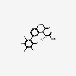 COC(=O)[C@H](C)N1C(=O)COc2ccc(-c3c(F)c(F)c(F)c(F)c3F)cc21